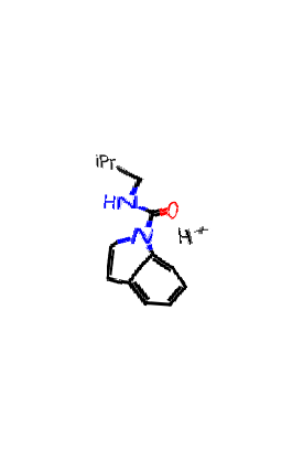 [CH2]C(C)CNC(=O)n1ccc2ccccc21.[H+]